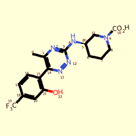 Cc1nc(N[C@@H]2CCCN(C(=O)O)C2)nnc1-c1ccc(C(F)(F)F)cc1O